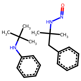 CC(C)(C)Nc1ccccc1.CC(C)(Cc1ccccc1)NN=O